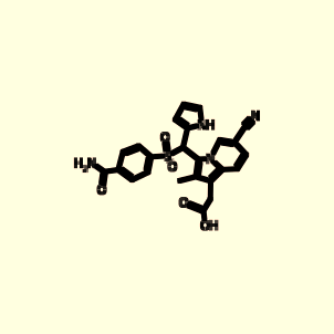 Cc1c(CC(=O)O)c2ccc(C#N)cn2c1C(c1ccc[nH]1)S(=O)(=O)c1ccc(C(N)=O)cc1